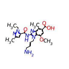 CCn1nc(C)cc1C(=O)Nc1nc2c(C)c(C(=O)O)cc(OC)c2n1CC=CCN